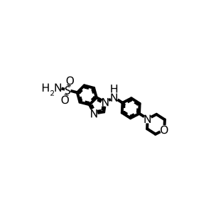 NS(=O)(=O)c1ccc2c(c1)ncn2Nc1ccc(N2CCOCC2)cc1